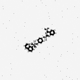 CN(C)c1nc(NC[C@H]2CC[C@H](CNS(=O)(=O)c3cccc4cccnc34)CC2)nc2ccccc12